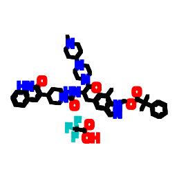 Cc1cc(CC(NC(=O)N2CCC(c3cc4ccccc4[nH]c3=O)CC2)C(=O)N2CCN(C3CCN(C)CC3)CC2)cc2cnn(COC(=O)C(C)(C)c3ccccc3)c12.O=C(O)C(F)(F)F